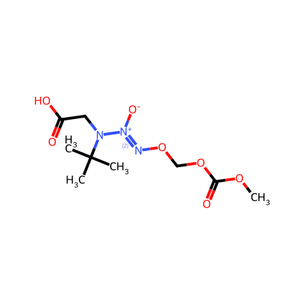 COC(=O)OCO/N=[N+](\[O-])N(CC(=O)O)C(C)(C)C